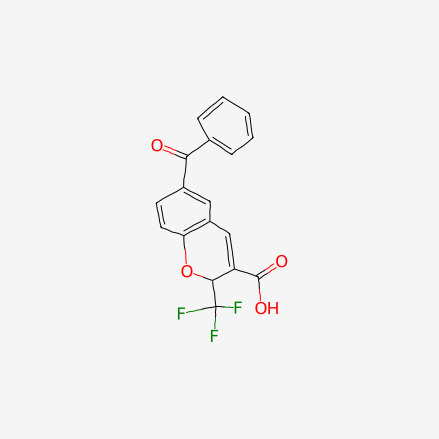 O=C(O)C1=Cc2cc(C(=O)c3ccccc3)ccc2OC1C(F)(F)F